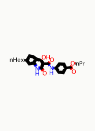 CCCCCCc1ccc2c(O)c(C(=O)Nc3ccc(C(=O)OCCC)cc3)c(=O)[nH]c2c1